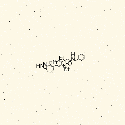 CCCC1=C(c2cc3c(cc2C)C(CC)(CCNCc2ccccc2)C(=O)N3CC)CCCc2c[nH]nc21